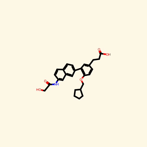 O=C(O)CCc1ccc(OCC2CCCC2)c(-c2ccc3ccc(NC(=O)CO)cc3c2)c1